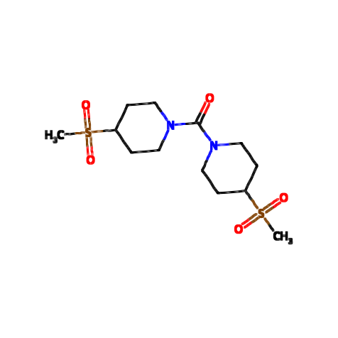 CS(=O)(=O)C1CCN(C(=O)N2CCC(S(C)(=O)=O)CC2)CC1